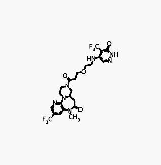 CN1C(=O)CC2CN(C(=O)CCOCCNc3cn[nH]c(=O)c3C(F)(F)F)CCN2c2ncc(C(F)(F)F)cc21